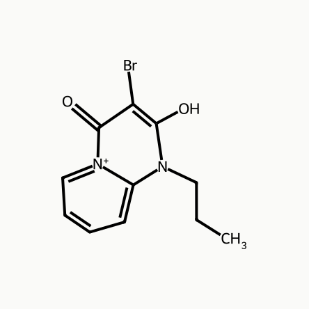 CCCn1c(O)c(Br)c(=O)[n+]2ccccc12